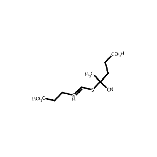 CC(C#N)(CCC(=O)O)SC=[SH]CCC(=O)O